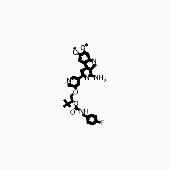 COc1cc2ncc3c(N)nc(-c4cncc(OCC(OC(=O)NCc5ccc(F)cc5)C(C)(C)C)c4)cc3c2cc1OC